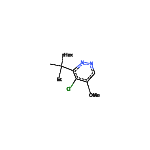 CCCCCCC(C)(CC)c1nncc(OC)c1Cl